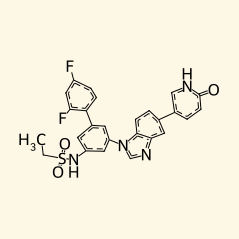 CCS(=O)(=O)Nc1cc(-c2ccc(F)cc2F)cc(-n2cnc3cc(-c4ccc(=O)[nH]c4)ccc32)c1